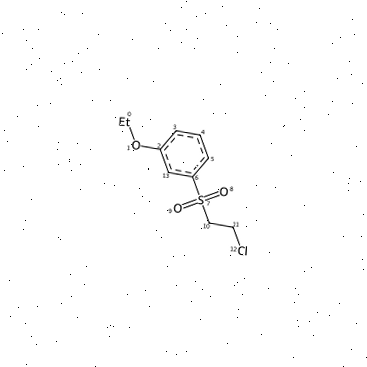 CCOc1cccc(S(=O)(=O)CCCl)c1